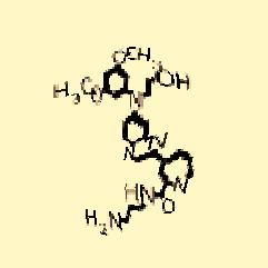 COc1cc(OC)cc(N(CCO)c2ccc3ncc(C4=CCC=NC(C(=O)NCCCN)=C4)nc3c2)c1